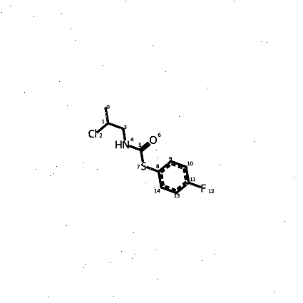 CC(Cl)CNC(=O)Sc1ccc(F)cc1